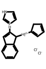 C1=CC[C]([Hf+2][CH]2C([PH]3=CNC=C3)=Cc3ccccc32)=C1.[Cl-].[Cl-]